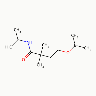 CB(C)OCCC(C)(C)C(=O)NC(C)C